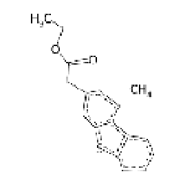 C.CCOC(=O)Cc1ccc2c(c1)sc1ccccc12